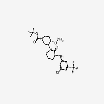 CC(C)(C)OC(=O)N1CC[C@H](ON)[C@@H](N2CCCC(Nc3cc(Cl)cc(C(F)(F)F)c3)C2=O)C1